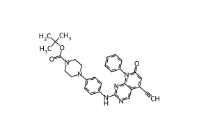 C#Cc1cc(=O)n(-c2ccccc2)c2nc(Nc3ccc(N4CCN(C(=O)OC(C)(C)C)CC4)cc3)ncc12